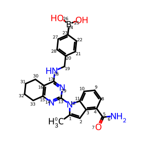 Cc1cc2c(C(N)=O)cccc2n1-c1nc2c(c(NCc3ccc(B(O)O)cc3)n1)CCCC2